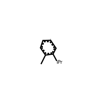 Cc1cc[c]cc1C(C)C